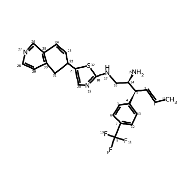 C/C=C/[C@@H](c1ccc(C(F)(F)F)cc1)[C@H](N)CNc1ncc(C2C=Cc3cnccc3C2)s1